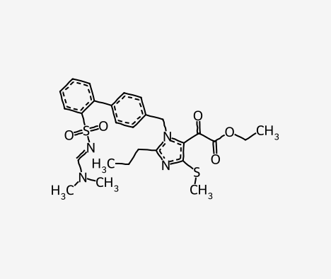 CCCc1nc(SC)c(C(=O)C(=O)OCC)n1Cc1ccc(-c2ccccc2S(=O)(=O)N=CN(C)C)cc1